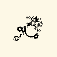 C=C[C@]1(CC)C[C@]1(NC(=O)[C@@H]1C[C@@H]2CN1C(=O)[C@H](C(C)(C)C)NC(=O)O[C@@H]1CCC[C@H]1CCCCCc1c(nc3ccccc3c1OCCN1CCOCC1)O2)C(=O)O